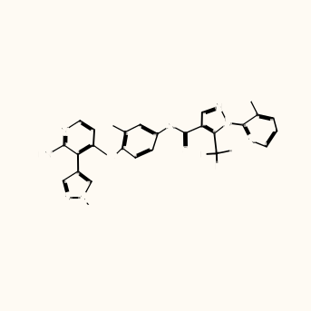 Cn1cc(-c2c(Oc3ccc(NC(=O)c4cnn(-c5ncccc5F)c4C(F)(F)F)cc3F)ccnc2N)cn1